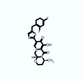 C[C@H]1CCO[C@@H]2Cn3cc(-c4ncc(CC5=C(F)C=C(F)CC5)s4)c(=O)c(O)c3C(=O)N12